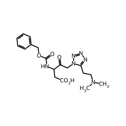 CN(C)CCc1nnnn1CC(=O)C(CC(=O)O)NC(=O)OCc1ccccc1